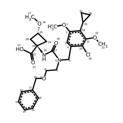 COc1cc(CN(CCOCc2ccccc2)C(=O)N[C@]2(C(=O)O)C[C@@H](OC)C2)c(Cl)c(OC)c1C1CC1